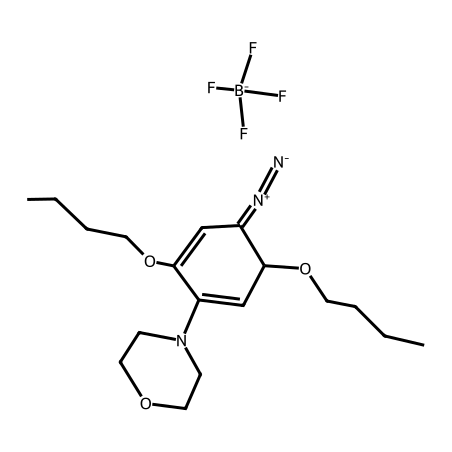 CCCCOC1=CC(=[N+]=[N-])C(OCCCC)C=C1N1CCOCC1.F[B-](F)(F)F